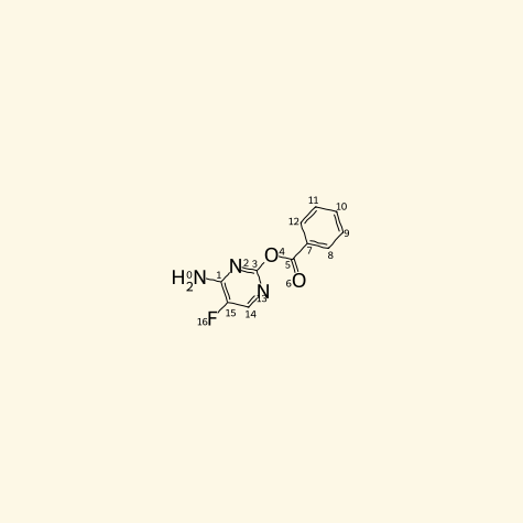 Nc1nc(OC(=O)c2ccccc2)ncc1F